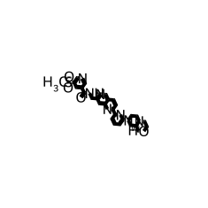 CS(=O)(=O)c1cncc(C(=O)NCc2cc3nc(-c4cccc(N5CCN6CCOC[C@H]6C5)n4)ccc3cn2)c1